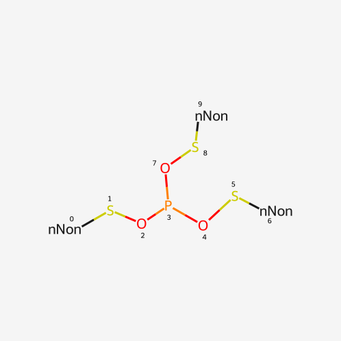 CCCCCCCCCSOP(OSCCCCCCCCC)OSCCCCCCCCC